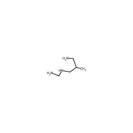 CC(CN)CNCN